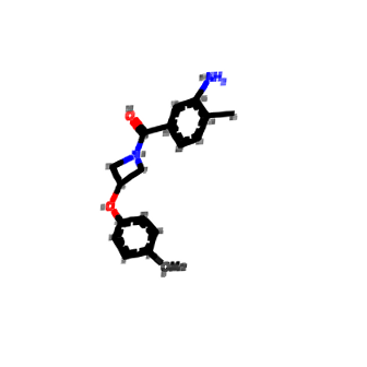 COc1ccc(OC2CN(C(=O)c3ccc(C)c(N)c3)C2)cc1